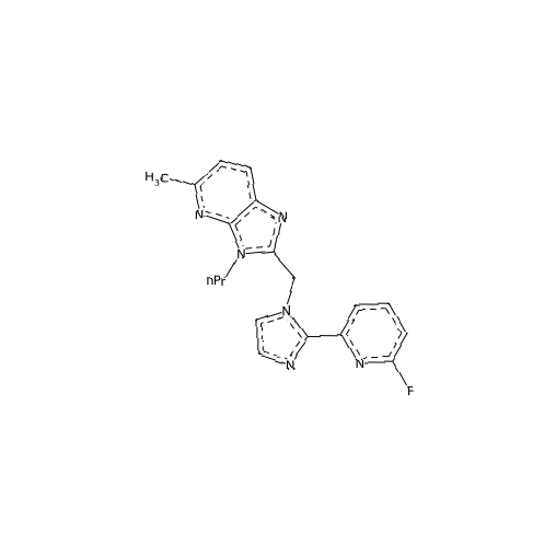 CCCn1c(Cn2ccnc2-c2cccc(F)n2)nc2ccc(C)nc21